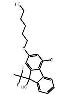 OCCCCCOc1cc(Cl)c2c(c1)C(O)(C(F)(F)F)c1ccccc1-2